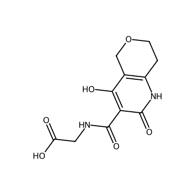 O=C(O)CNC(=O)c1c(O)c2c([nH]c1=O)CCOC2